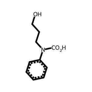 O=C(O)N(CCCO)c1ccccc1